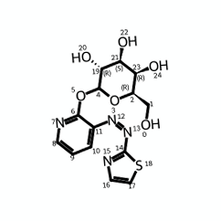 OC[C@H]1OC(Oc2ncccc2N=Nc2nccs2)[C@H](O)[C@@H](O)[C@H]1O